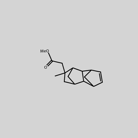 COC(=O)CC1(C)CC2CC1C1C3C=CC(C3)C21